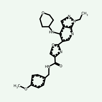 CCn1ncc2c(NC3CCOCC3)c(-c3nc(C(=O)NCc4ccc(OC)cc4)co3)cnc21